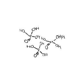 O=P(O)(O)O.O=P(O)(O)O.O=P(O)(O)O.[Pt]